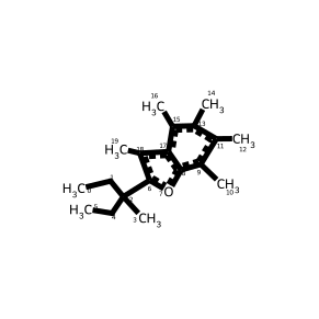 CCC(C)(CC)c1oc2c(C)c(C)c(C)c(C)c2c1C